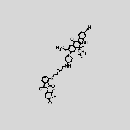 CCc1cc2c(cc1N1CCC(NCCOCCSc3cccc4c3C(=O)N(C3CCC(=O)NC3=O)C4=O)CC1)C(C)(C)c1[nH]c3cc(C#N)ccc3c1C2=O